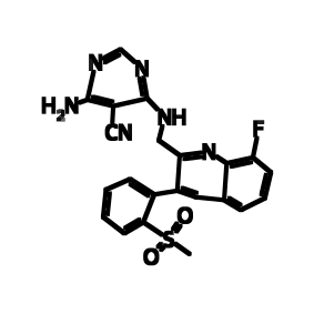 CS(=O)(=O)c1ccccc1-c1cc2cccc(F)c2nc1CNc1ncnc(N)c1C#N